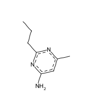 CCCc1nc(C)cc(N)n1